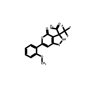 COc1ccccc1-c1cc2c(c(=O)o1)C(C(N)=O)(C(F)(F)F)NS2